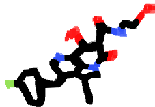 Cc1cn2c(=O)c(C(=O)NCCO)c(O)c3ncc(Cc4ccc(F)cc4)c1c32